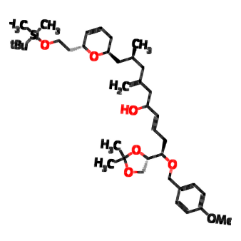 C=C(CC(O)/C=C/C[C@@H](OCc1ccc(OC)cc1)[C@@H]1COC(C)(C)O1)C[C@H](C)C[C@@H]1CC=C[C@@H](CCO[Si](C)(C)C(C)(C)C)O1